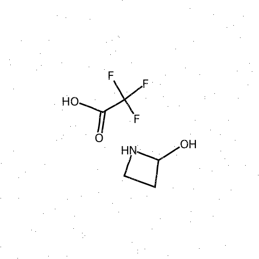 O=C(O)C(F)(F)F.OC1CCN1